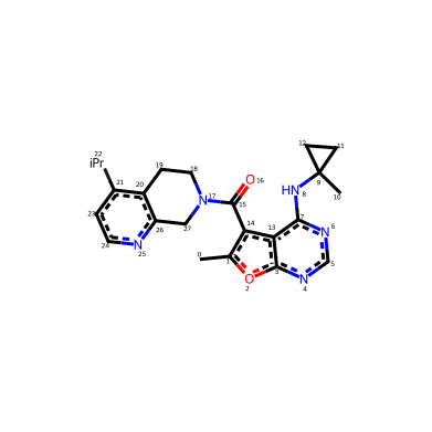 Cc1oc2ncnc(NC3(C)CC3)c2c1C(=O)N1CCc2c(C(C)C)ccnc2C1